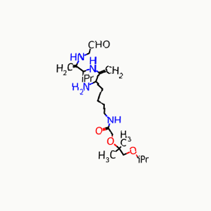 C=C(NC(C(=C)NCC=O)C(C)C)C(N)CCCCNC(=O)COC(C)(C)COC(C)C